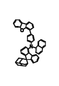 c1ccc2c(c1)-c1c(N(c3ccc(-c4cccc5c4oc4ccccc45)cc3)c3cccc4ccccc34)cccc1C21C2CC3CC(C2)CC1C3